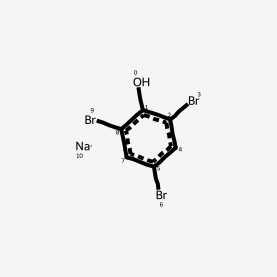 Oc1c(Br)cc(Br)cc1Br.[Na]